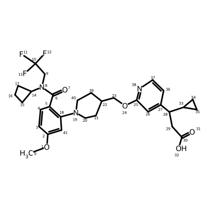 COc1ccc(C(=O)N(CC(F)(F)F)C2CCC2)c(N2CCC(COc3cc(C(CC(=O)O)C4CC4)ccn3)CC2)c1